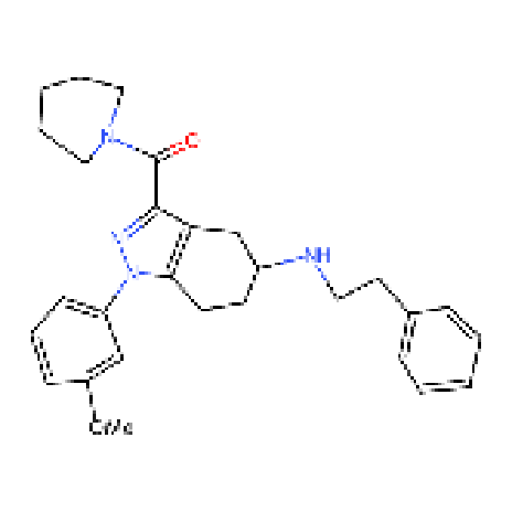 COc1cccc(-n2nc(C(=O)N3CCCCC3)c3c2CCC(NCCc2ccccc2)C3)c1